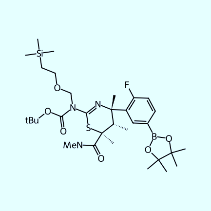 CNC(=O)[C@@]1(C)SC(N(COCC[Si](C)(C)C)C(=O)OC(C)(C)C)=N[C@](C)(c2cc(B3OC(C)(C)C(C)(C)O3)ccc2F)[C@@H]1C